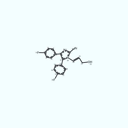 CC(C)c1nc(-c2ccc(F)cc2)c(-c2ccc(F)cc2)n1C=CCO